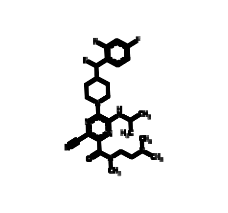 CC(C)Nc1nc(C(=O)N(C)CCN(C)C)c(C#N)nc1N1CCC(C(F)c2ccc(F)cc2F)CC1